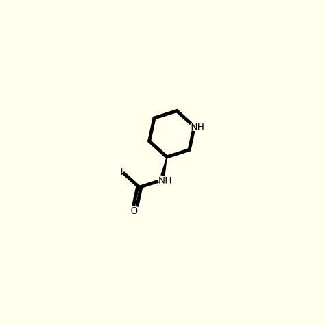 O=C(I)N[C@H]1CCCNC1